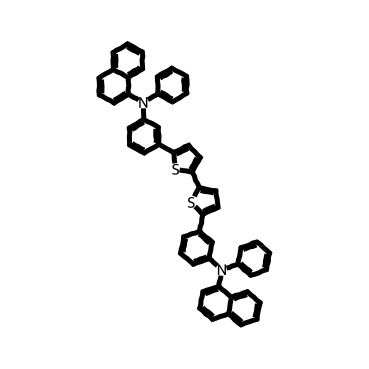 c1ccc(N(c2cccc(-c3ccc(-c4ccc(-c5cccc(N(c6ccccc6)c6cccc7ccccc67)c5)s4)s3)c2)c2cccc3ccccc23)cc1